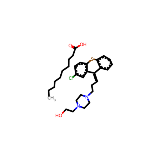 CCCCCCCCCC(=O)O.OCCN1CCN(CCC=C2c3ccccc3Sc3ccc(Cl)cc32)CC1